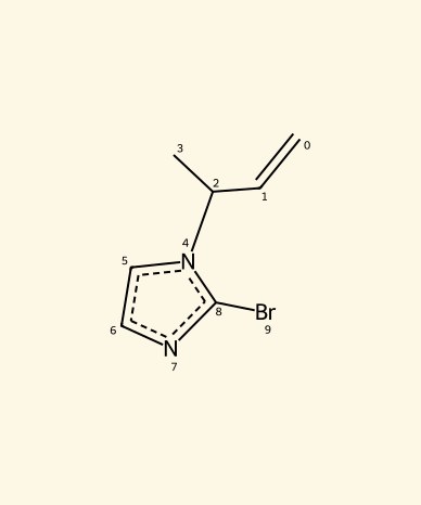 C=CC(C)n1ccnc1Br